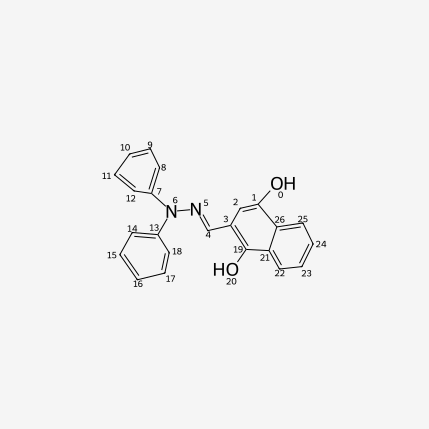 Oc1cc(/C=N/N(c2ccccc2)c2ccccc2)c(O)c2ccccc12